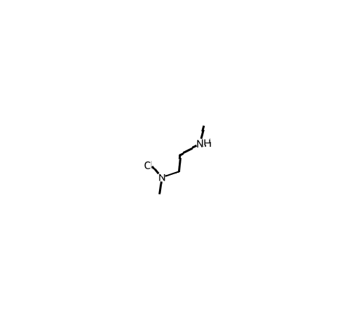 CNCCN(C)Cl